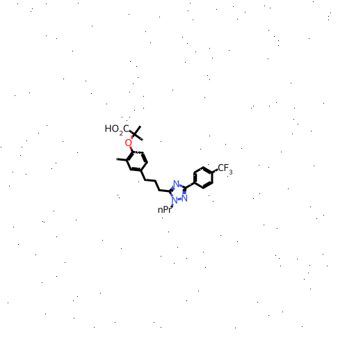 CCCn1nc(-c2ccc(C(F)(F)F)cc2)nc1CCCc1ccc(OC(C)(C)C(=O)O)c(C)c1